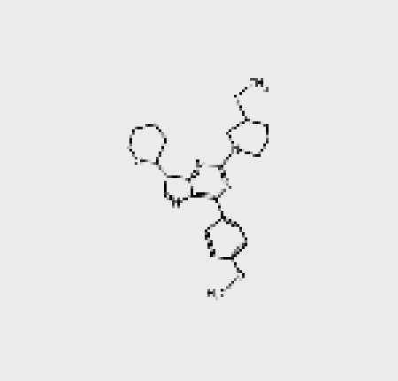 CNC1CCCN(c2nc(-c3ccc(OC)cc3)c3ncn(C4CCCCO4)c3n2)C1